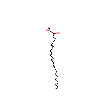 CCCCCCCCCCCCCCCCCCCC(O)C1CO1